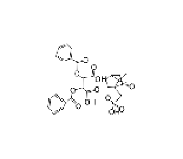 CC1(C)C2CCC1(CS(=O)(=O)O)C(=O)C2.O=C(OC(C(=O)O)C(OC(=O)c1ccccc1)C(=O)O)c1ccccc1